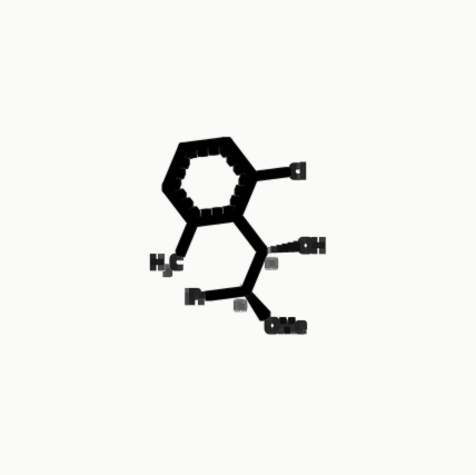 CO[C@@H](C(C)C)[C@@H](O)c1c(C)cccc1Cl